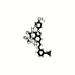 Cc1ccc(-n2nc3c(c2NC(=O)C[S+](C)[O-])C(=O)NC(CCc2cccc(C4CC4)c2)C3)nn1